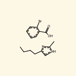 CCCCc1c[nH]c(C)n1.O=C(O)c1ccccc1Br